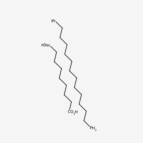 CC(C)CCCCCCCCCCCCP.CCCCCCCCCCCCCCCCCC(=O)O